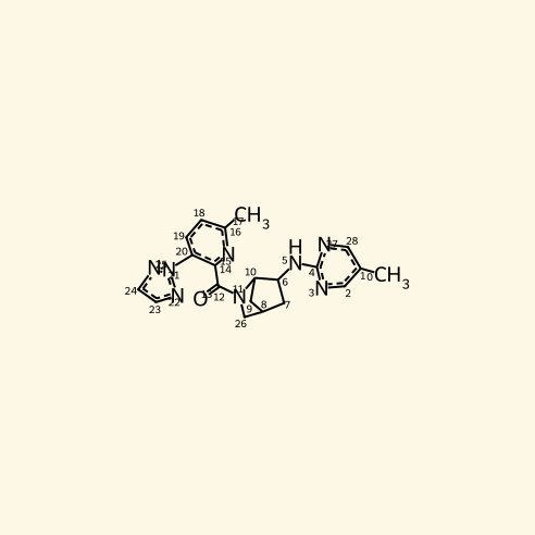 Cc1cnc(NC2CC3CC2N(C(=O)c2nc(C)ccc2-n2nccn2)C3)nc1